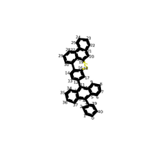 c1ccc(-c2c3ccccc3c(-c3ccc4c(c3)Sc3cc5ccccc5c5cccc-4c35)c3ccccc23)cc1